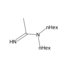 CCCCCCN(CCCCCC)C(C)=N